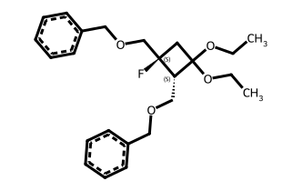 CCOC1(OCC)C[C@@](F)(COCc2ccccc2)[C@H]1COCc1ccccc1